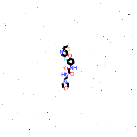 O=C(NCCN1CCOCC1)C(=O)Nc1ccc(Oc2ccnc3ccsc23)c(F)c1